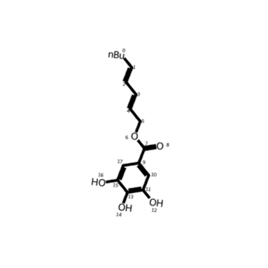 CCCCC=CC=CCOC(=O)c1cc(O)c(O)c(O)c1